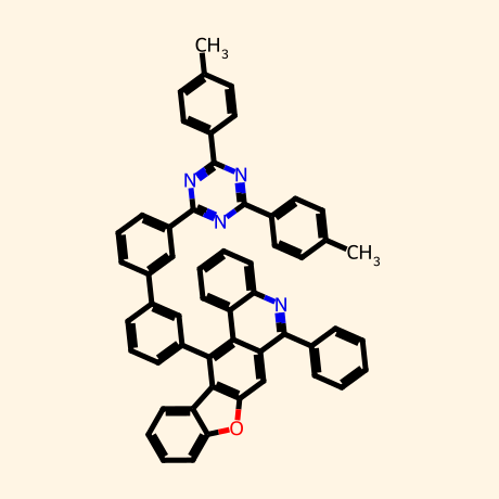 Cc1ccc(-c2nc(-c3ccc(C)cc3)nc(-c3cccc(-c4cccc(-c5c6c(cc7c(-c8ccccc8)nc8ccccc8c57)oc5ccccc56)c4)c3)n2)cc1